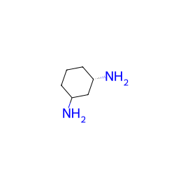 NC1CCC[C@H](N)C1